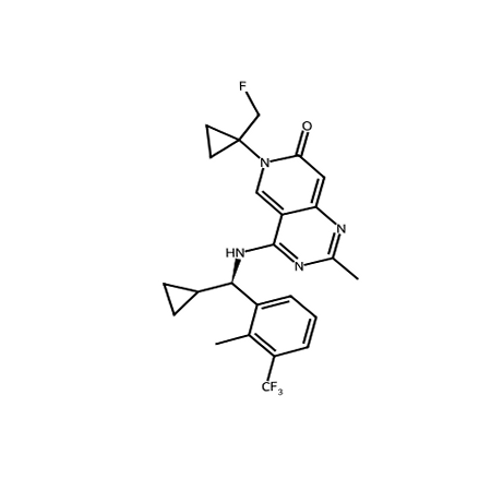 Cc1nc(N[C@@H](c2cccc(C(F)(F)F)c2C)C2CC2)c2cn(C3(CF)CC3)c(=O)cc2n1